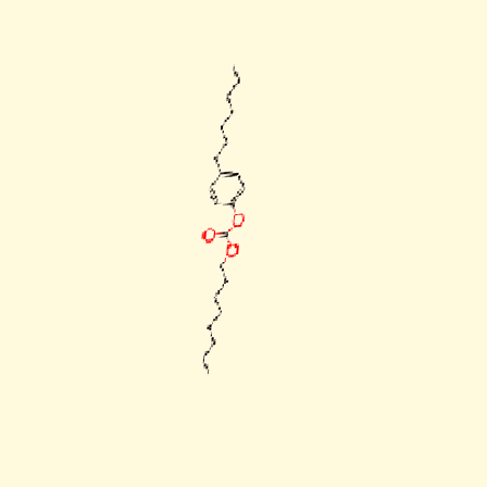 CCCCCCCCOC(=O)Oc1ccc(CCCCCCC)cc1